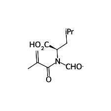 C=C(C)C(=O)N([C]=O)[C@H](CC(C)C)C(=O)O